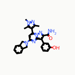 Cc1nn(C)c(C)c1-c1cc(N2Cc3ccccc3C2)nc2c(-c3cccc(O)c3)c(C(N)=O)nn12